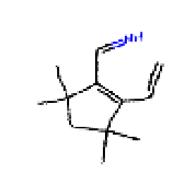 C=CC1=C(C=N)C(C)(C)CC1(C)C